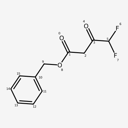 O=C(CC(=O)C(F)F)OCc1ccccc1